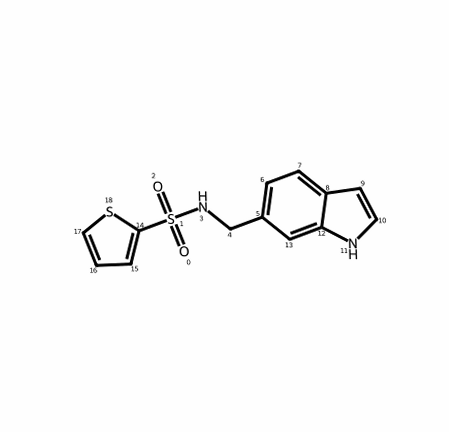 O=S(=O)(NCc1ccc2cc[nH]c2c1)c1cccs1